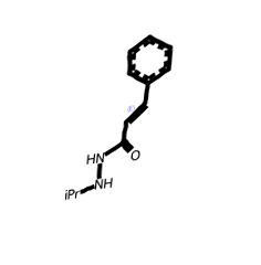 CC(C)NNC(=O)/C=C/c1ccccc1